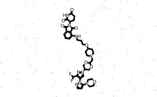 O=C1CCC(N2C(=O)c3cccc(NCCCOC4CCN(CC5OCC(n6cc(-n7nccc7N7CCOCC7)c(C(F)F)n6)CO5)CC4)c3C2=O)C(=O)N1